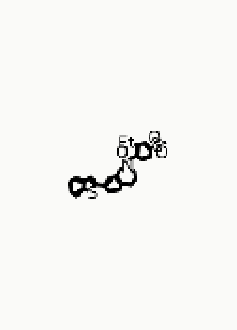 CCc1cc(S(C)(=O)=O)ccc1C(=O)N1CCCc2ccc(-c3cc4ccccc4s3)cc2C1